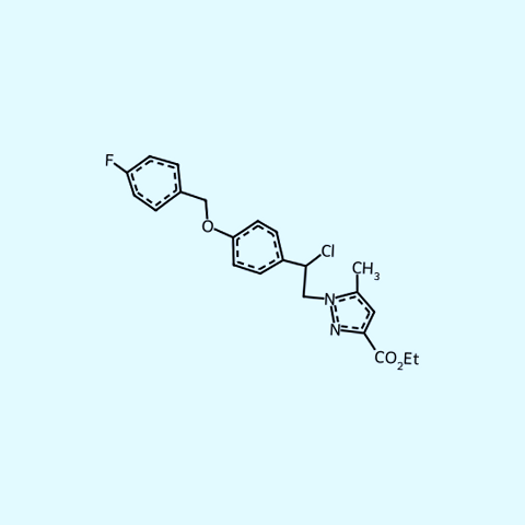 CCOC(=O)c1cc(C)n(CC(Cl)c2ccc(OCc3ccc(F)cc3)cc2)n1